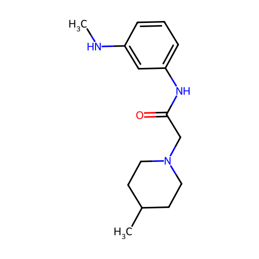 CNc1cccc(NC(=O)CN2CCC(C)CC2)c1